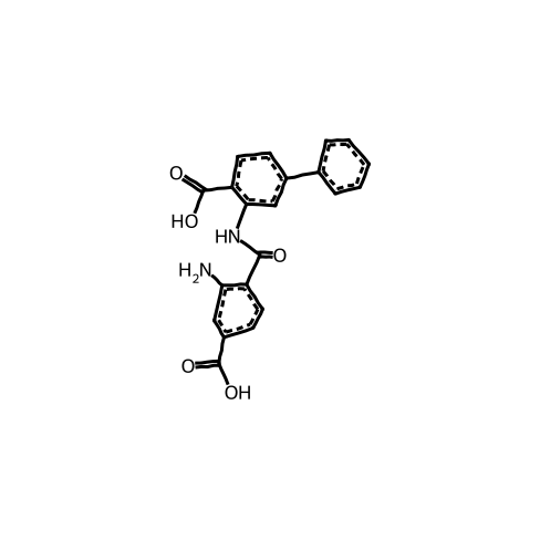 Nc1cc(C(=O)O)ccc1C(=O)Nc1cc(-c2ccccc2)ccc1C(=O)O